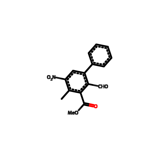 COC(=O)c1c(C)c([N+](=O)[O-])cc(-c2ccccc2)c1C=O